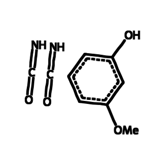 COc1cccc(O)c1.N=C=O.N=C=O